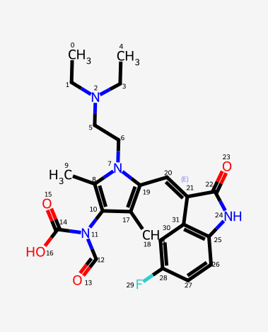 CCN(CC)CCn1c(C)c(N(C=O)C(=O)O)c(C)c1/C=C1/C(=O)Nc2ccc(F)cc21